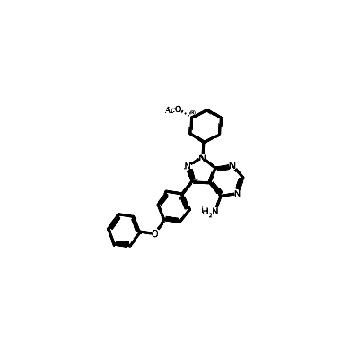 CC(=O)O[C@@H]1CCCC(n2nc(-c3ccc(Oc4ccccc4)cc3)c3c(N)ncnc32)C1